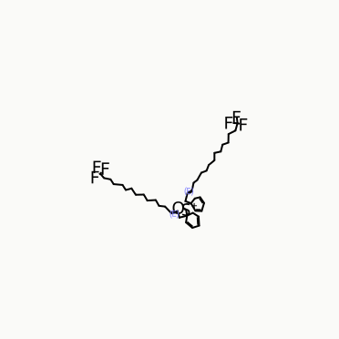 [O-][S+](C1(C/C=C/CCCCCCCCCCCCC(F)(F)F)C=CC=CC1)C1(C/C=C/CCCCCCCCCCCCC(F)(F)F)C=CC=CC1